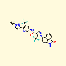 Cn1ccc(-c2ncc(NC(=O)c3cnn(-c4ccc5c6c(cccc46)C(=O)N5)c3C(F)(F)F)cc2C(F)(F)F)n1